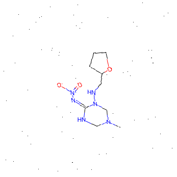 CN1CNC(=N[N+](=O)[O-])N(NCC2CCCO2)C1